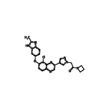 Cc1nc2ccc(Oc3ccc4ncc(-c5cnn(CC(=O)N6CCC6)c5)nc4c3Cl)cc2[nH]1